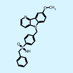 COc1ccc2c(c1)c1ncccc1n2Cc1ccc(S(=N)(=O)Cc2ccccc2)cc1